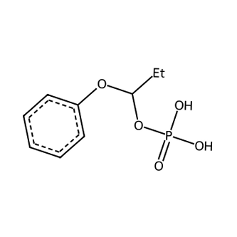 CCC(Oc1ccccc1)OP(=O)(O)O